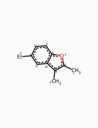 CCc1ccc2oc(C)c(C)c2c1